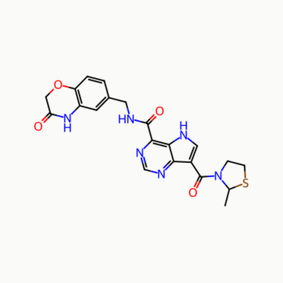 CC1SCCN1C(=O)c1c[nH]c2c(C(=O)NCc3ccc4c(c3)NC(=O)CO4)ncnc12